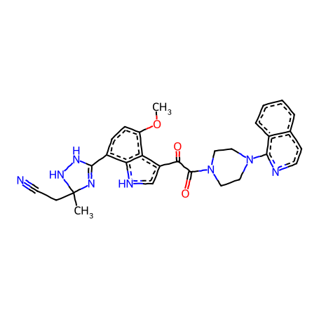 COc1ccc(C2=NC(C)(CC#N)NN2)c2[nH]cc(C(=O)C(=O)N3CCN(c4nccc5ccccc45)CC3)c12